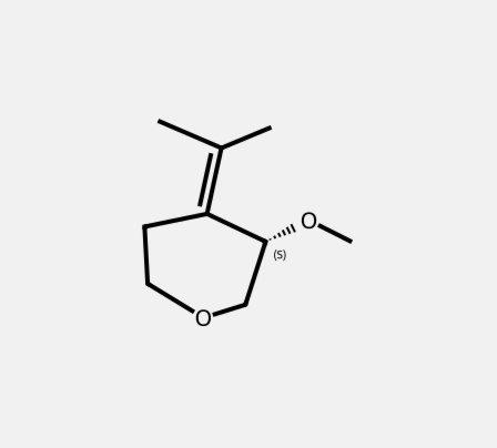 CO[C@@H]1COCCC1=C(C)C